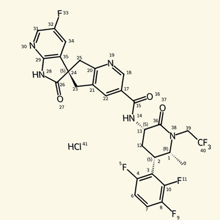 C[C@@H]1[C@H](c2c(F)ccc(F)c2F)C[C@H](NC(=O)c2cnc3c(c2)C[C@@]2(C3)C(=O)Nc3ncc(F)cc32)C(=O)N1CC(F)(F)F.Cl